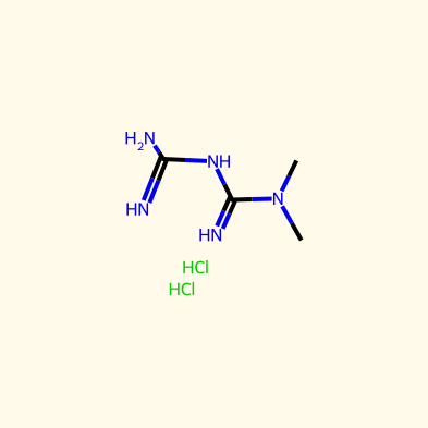 CN(C)C(=N)NC(=N)N.Cl.Cl